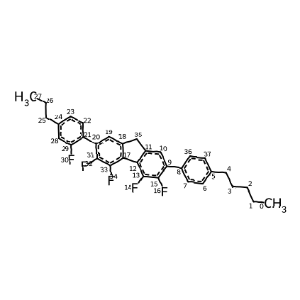 CCCCCc1ccc(-c2cc3c(c(F)c2F)-c2c(cc(-c4ccc(CCC)cc4F)c(F)c2F)C3)cc1